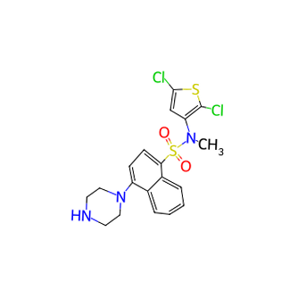 CN(c1cc(Cl)sc1Cl)S(=O)(=O)c1ccc(N2CCNCC2)c2ccccc12